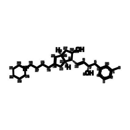 Cc1cccc(C[C@H](O)/C=C/[C@@H]2[C@H]3CC(CCCCN4CCCCC4)=C[C@H]3C[C@H]2O)c1